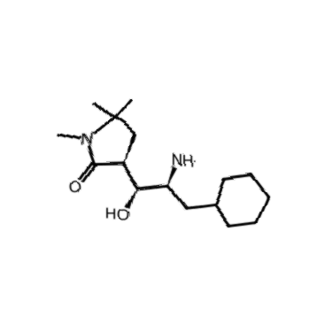 CN1C(=O)[C@H]([C@H](O)[C@@H]([NH])CC2CCCCC2)CC1(C)C